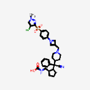 Cn1cc(Br)c(S(=O)(=O)c2ccc(N3CC(CN4CCC(C(C#N)(c5ccccc5)C5CCCC5CNC(=O)O)CC4)C3)cc2)n1